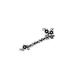 COc1ccc2c(c1)C(c1ccc(Cl)cc1)=N[C@@H](CC(=O)NCCOCCOCCOCCOCCNC(=O)c1cccc(O)c1)c1nnc(C)n1-2